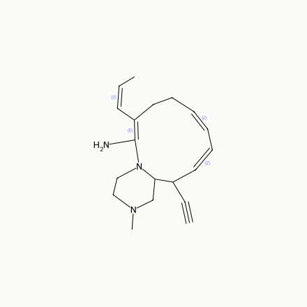 C#CC1/C=C\C=C/CCC(/C=C\C)=C(/N)N2CCN(C)CC12